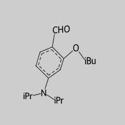 CCC(C)Oc1cc(N(C(C)C)C(C)C)ccc1C=O